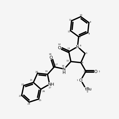 CC(C)(C)OC(=O)C1CN(c2ccccc2)C(=O)C1NC(=O)c1cc2ccccc2[nH]1